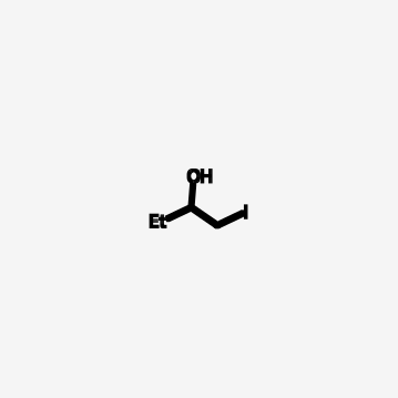 CCC(O)CI